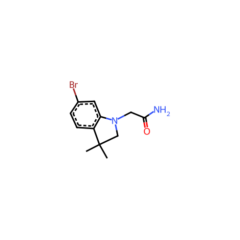 CC1(C)CN(CC(N)=O)c2cc(Br)ccc21